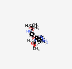 CCOC(=O)CN(C)c1c(O[C@H]2CC[C@@H](NC(=O)OC(C)(C)C)CC2)ccc2c1CC(C)(C)c1c(N)ncnc1-2